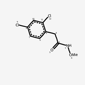 CONC(=O)Cc1ccc(Cl)cc1Cl